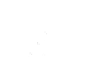 C=CCCCN(CCCC=C)C(=O)N(CCCC=C)C(N)=O